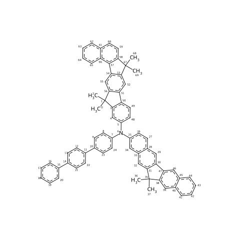 CC1(C)c2cc(N(c3ccc(-c4ccc(-c5ccccc5)cc4)cc3)c3ccc4cc5c(cc4c3)C(C)(C)c3cc4ccccc4cc3-5)ccc2-c2cc3c(cc21)-c1c(ccc2ccccc12)C3(C)C